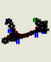 Cc1ncsc1-c1ccc(CNC(=O)[C@@H]2C[C@@H](OCc3ccccc3)CN2C(=O)[C@@H](NC(=O)COCCOCCOCCNC(=O)C[C@@H]2N=C(c3ccc(Cl)cc3)c3c(sc(C)c3C)-n3c(C)nnc32)C(C)(C)C)cc1